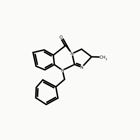 CC1CN2C(=O)c3ccccc3N(Cc3ccccc3)C2=N1